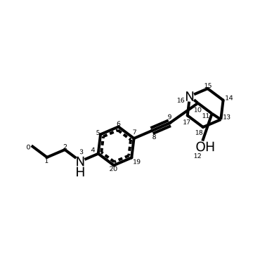 CCCNc1ccc(C#CC2C(O)C3CCN2CC3)cc1